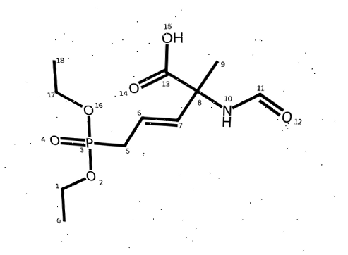 CCOP(=O)(C/C=C/C(C)(NC=O)C(=O)O)OCC